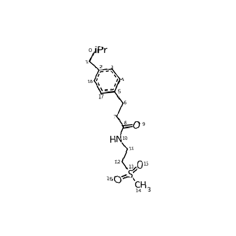 CC(C)Cc1ccc(CCC(=O)NCCS(C)(=O)=O)cc1